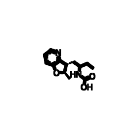 CCC(C[C@H]1c2ncccc2O[C@@H]1C)NC(=O)O